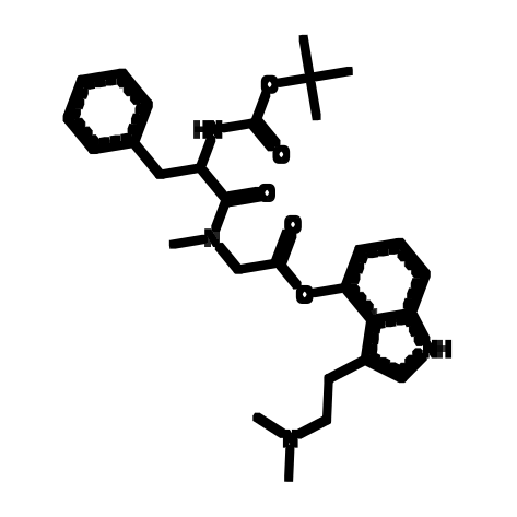 CN(C)CCc1c[nH]c2cccc(OC(=O)CN(C)C(=O)C(Cc3ccccc3)NC(=O)OC(C)(C)C)c12